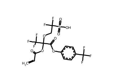 C=CC(=O)OC(OCC(F)(F)S(=O)(=O)O)(C(=O)Oc1ccc(C(F)(F)F)cc1)C(F)(F)F